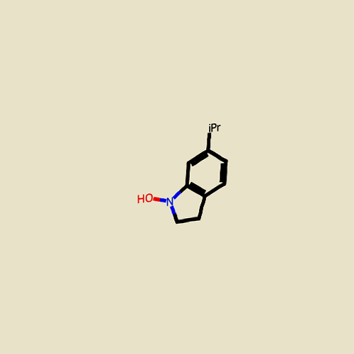 CC(C)c1ccc2c(c1)N(O)CC2